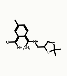 Cc1ccc(=C(/N)NCC2COC(C)(C)O2)/c(=C(\N)Cl)c1